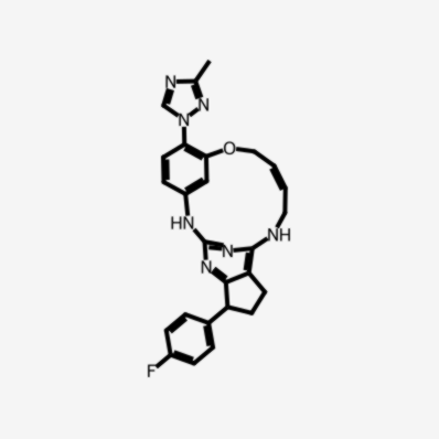 Cc1ncn(-c2ccc3cc2OC/C=C\CNc2nc(nc4c2CCC4c2ccc(F)cc2)N3)n1